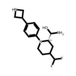 NC(O)[C@@H]1CC(C(F)F)CCN1c1ccc(C2CNC2)cc1